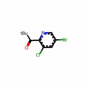 CC(C)(C)C(=O)c1ncc(Br)cc1Cl